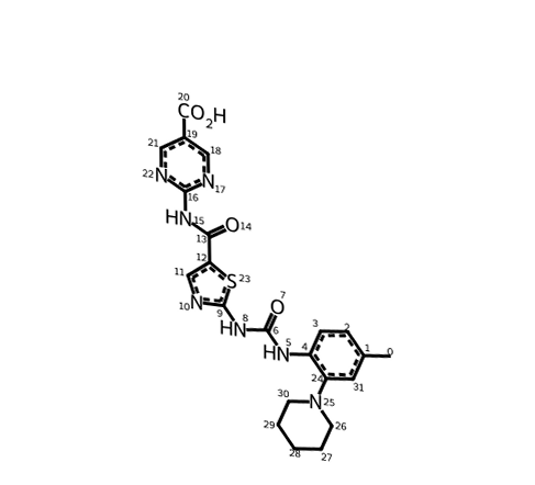 Cc1ccc(NC(=O)Nc2ncc(C(=O)Nc3ncc(C(=O)O)cn3)s2)c(N2CCCCC2)c1